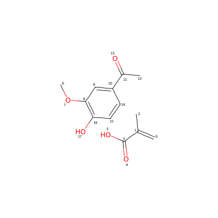 C=C(C)C(=O)O.COc1cc(C(C)=O)ccc1O